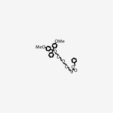 COc1ccc(C(OCCOCCOCCOCCN(C)C(=O)OCc2ccccc2)(c2ccccc2)c2ccc(OC)cc2)cc1